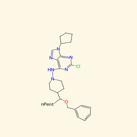 CCCCCC(OCc1ccccc1)C1CCN(Nc2nc(Cl)nc3c2ncn3C2CCCC2)CC1